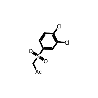 CC(=O)CS(=O)(=O)c1ccc(Cl)c(Cl)c1